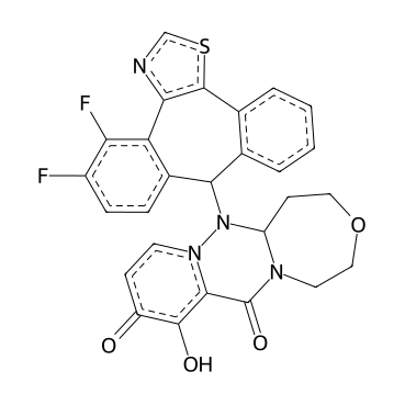 O=C1c2c(O)c(=O)ccn2N(C2c3ccccc3-c3scnc3-c3c2ccc(F)c3F)C2CCOCCN12